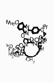 COc1ccc2c(O[C@@H]3C[C@H]4C(=O)N[C@]5(C(=O)NS(=O)(=O)C6CC6)C[C@H]5C=CCC[C@H](C)C[C@@H](C)[C@H](N(C(=O)O)C(C)(C)C(F)(F)F)C(=O)N4C3)nc(-c3ccc(OC(C)C)cc3)nc2c1